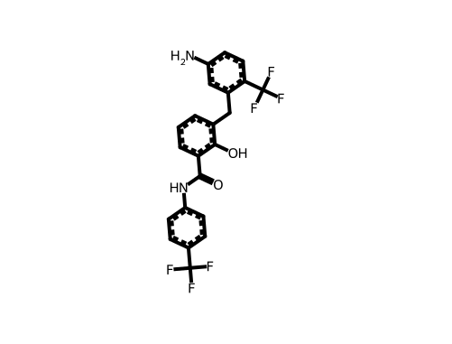 Nc1ccc(C(F)(F)F)c(Cc2cccc(C(=O)Nc3ccc(C(F)(F)F)cc3)c2O)c1